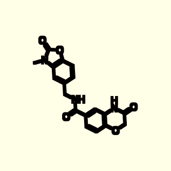 Cn1c(=O)oc2ccc(CNC(=O)c3ccc4c(c3)NC(=O)CO4)cc21